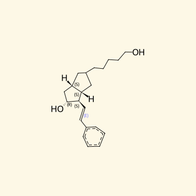 OCCCCCC1C[C@H]2C[C@@H](O)[C@H](/C=C/c3ccccc3)[C@H]2C1